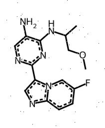 COCC(C)Nc1nc(-c2cnc3ccc(F)cn23)ncc1N